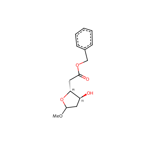 COC1C[C@H](O)[C@@H](CC(=O)OCc2ccccc2)O1